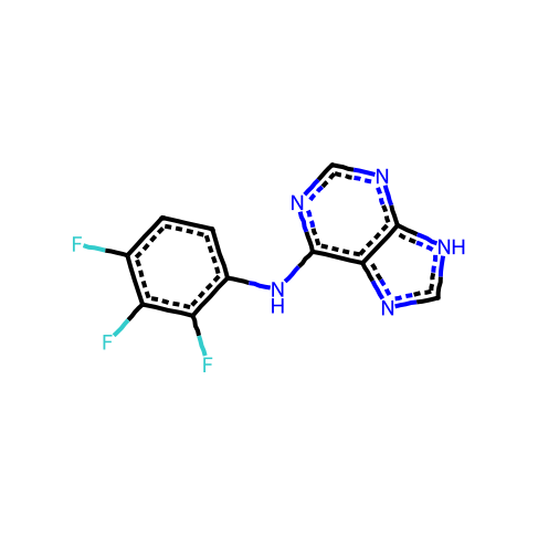 Fc1ccc(Nc2ncnc3[nH]cnc23)c(F)c1F